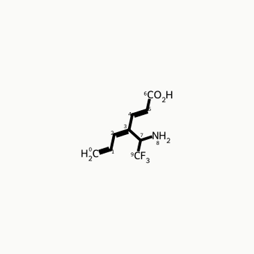 C=C/C=C(/C=C/C(=O)O)C(N)C(F)(F)F